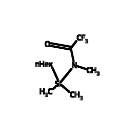 CCCCCC[Si](C)(C)N(C)C(=O)C(F)(F)F